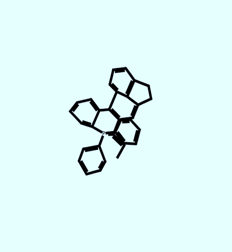 CC=C(C)c1cc2c3c(cccc3c1-c1ccccc1P(c1ccccc1)c1ccccc1)CC2